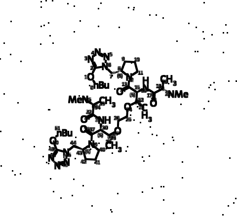 CCCCOc1nnnn1C[C@@H]1CCCN1C(=O)[C@@H](NC(=O)[C@H](C)NC)[C@@H](C)OCCO[C@H](C)[C@H](NC(=O)[C@H](C)NC)C(=O)N1CCC[C@H]1Cn1nnnc1OCCCC